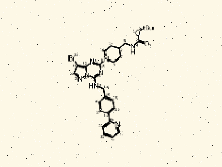 CC(C)(C)OC(=O)NCC1CCN(c2nc(NCc3ccc(-c4ccccn4)cc3)n3ncc(Br)c3n2)CC1